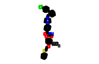 O=C(NS(=O)(=O)c1ccc(OCCSc2ccccc2)c([N+](=O)[O-])c1)c1ccc(N2CCN(Cc3ccccc3-c3ccc(Cl)cc3)CC2)cc1